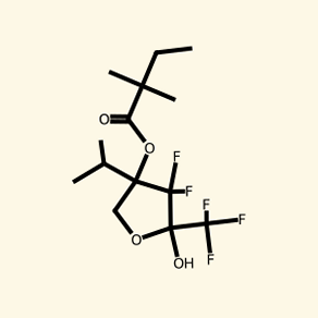 CCC(C)(C)C(=O)OC1(C(C)C)COC(O)(C(F)(F)F)C1(F)F